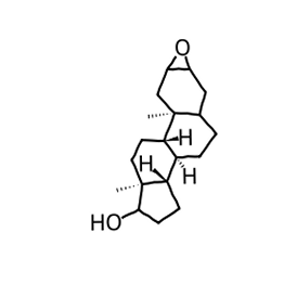 C[C@]12CC3OC3CC1CC[C@@H]1[C@@H]2CC[C@]2(C)C(O)CC[C@@H]12